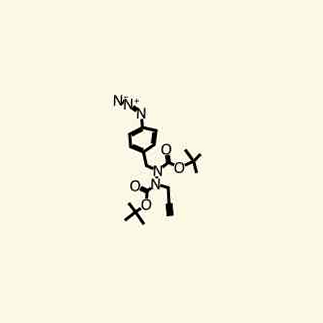 C#CCN(C(=O)OC(C)(C)C)N(Cc1ccc(N=[N+]=[N-])cc1)C(=O)OC(C)(C)C